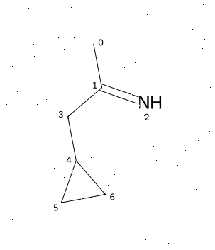 CC(=N)CC1CC1